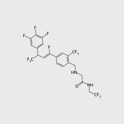 O=C(CNCc1ccc(/C(F)=C/C(c2cc(F)c(F)c(F)c2)C(F)(F)F)cc1C(F)(F)F)NCC(F)(F)F